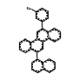 Brc1cccc(-c2cc3c4ccccc4c(-c4cccc5ccccc45)cc3c3ccccc23)c1